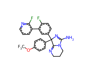 NC1=NC(c2ccc(OC(F)(F)F)cc2)(c2ccc(F)c(-c3cccnc3F)c2)C2=NCCCN12